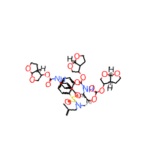 CC(C)CN(C[C@@H](OC(=O)OC1CO[C@H]2OCC[C@@H]12)[C@H](Cc1ccccc1)NC(=O)OC1CO[C@H]2OCCC12)S(=O)(=O)c1ccc(NC(=O)OC2COC3OCC[C@H]23)cc1